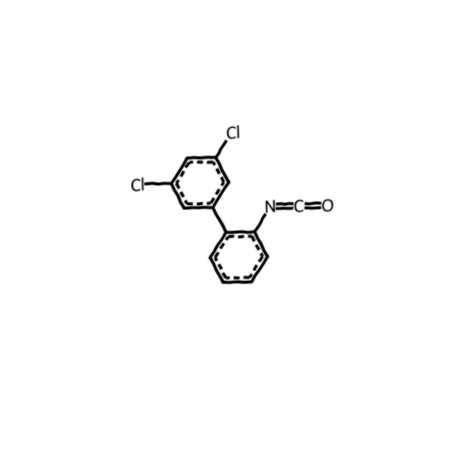 O=C=Nc1ccccc1-c1cc(Cl)cc(Cl)c1